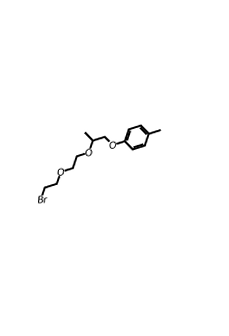 Cc1ccc(OCC(C)OCCOCCBr)cc1